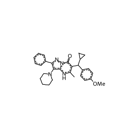 COc1ccc(C(c2c(C)[nH]c3c(N4CCCCC4)c(-c4ccccc4)nn3c2=O)C2CC2)cc1